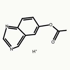 CC(=O)Oc1ccc2ncncc2c1.[H+]